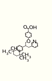 CC1(C)CCC(C)(C)c2cc(C(COc3ccc(C(=O)O)cc3)Cc3cccnc3)ccc21